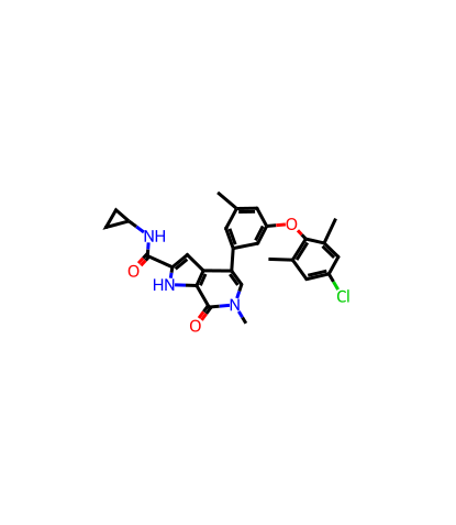 Cc1cc(Oc2c(C)cc(Cl)cc2C)cc(-c2cn(C)c(=O)c3[nH]c(C(=O)NC4CC4)cc23)c1